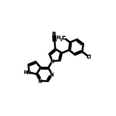 Cc1ccc(Cl)cc1-c1cn(-c2ncnc3[nH]ccc23)cc1C#N